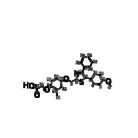 COc1ccc(-c2sc(COc3ccc(OCC(=O)O)c(C)c3)nc2-c2ccccc2)cc1